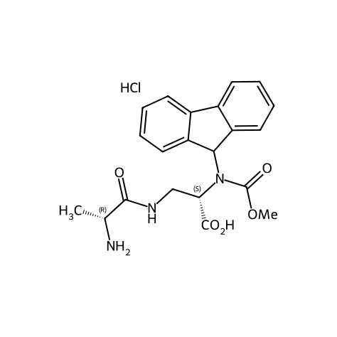 COC(=O)N(C1c2ccccc2-c2ccccc21)[C@@H](CNC(=O)[C@@H](C)N)C(=O)O.Cl